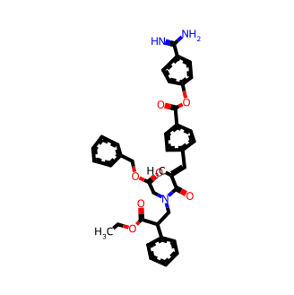 CCOC(=O)C(CN(CC(=O)OCc1ccccc1)C(=O)C(C)=Cc1ccc(C(=O)Oc2ccc(C(=N)N)cc2)cc1)c1ccccc1